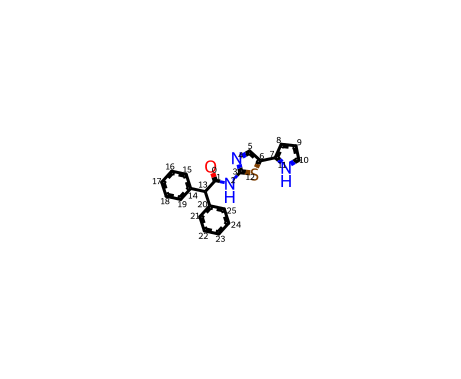 O=C(Nc1ncc(-c2ccc[nH]2)s1)C(c1ccccc1)c1ccccc1